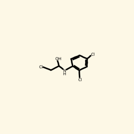 OC(CCl)Nc1ccc(Cl)cc1Cl